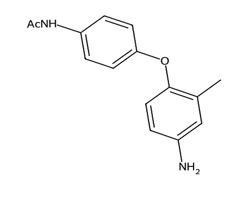 CC(=O)Nc1ccc(Oc2ccc(N)cc2C)cc1